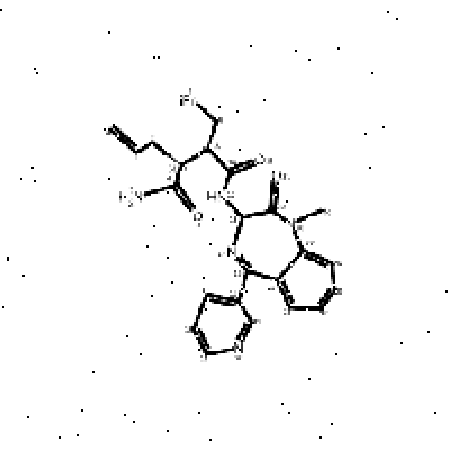 C=CC[C@H](C(N)=O)[C@@H](CC(C)C)C(=O)NC1N=C(c2cccnc2)c2ccccc2N(C)C1=O